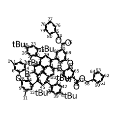 Cc1ccc2c(c1)Oc1cc(C)cc3c1B2c1cc2c(-c4c(C(C)(C)C)cc(C(C)(C)C)cc4C(C)(C)C)cc4c5c(cc6c(-c7c(C(C)(C)C)cc(C(C)(C)C)cc7C(C)(C)C)cc-3c1c6c25)B1c2ccc(C(=O)OCc3ccccc3)cc2Oc2cc(C(=O)OCc3ccccc3)cc-4c21